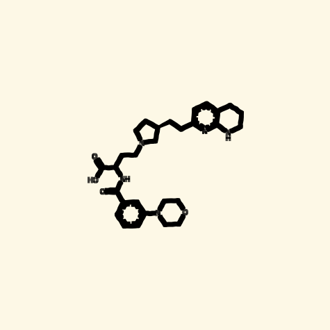 O=C(NC(CCN1CC[C@@H](CCc2ccc3c(n2)NCCC3)C1)C(=O)O)c1cccc(N2CCOCC2)c1